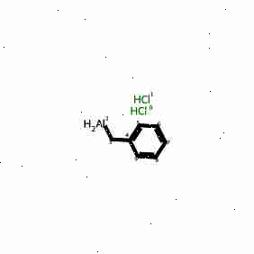 Cl.Cl.[AlH2][CH2]c1ccccc1